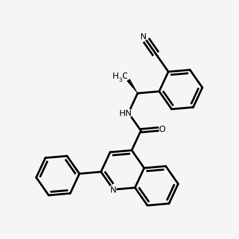 C[C@H](NC(=O)c1cc(-c2ccccc2)nc2ccccc12)c1ccccc1C#N